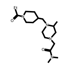 CCC(=O)N1CCC(CN2CCN(CC(=O)N(C)C)CC2C)CC1